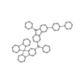 c1ccc(-c2ccc(-c3ccc4c(c3)c3cc(N(c5ccccc5)c5ccc6c(c5)C5(c7ccccc7-c7ccccc75)c5ccccc5-6)ccc3n4-c3ccccc3)cc2)cc1